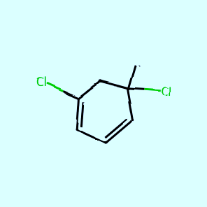 [CH2]C1(Cl)C=CC=C(Cl)C1